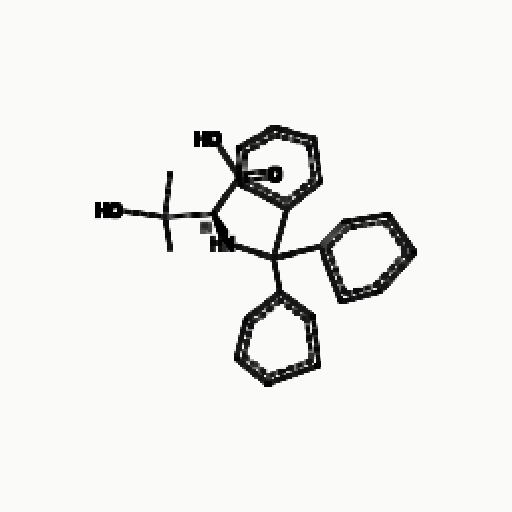 CC(C)(O)[C@H](NC(c1ccccc1)(c1ccccc1)c1ccccc1)C(=O)O